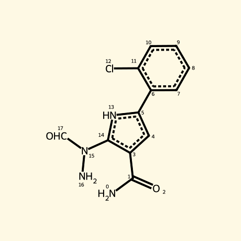 NC(=O)c1cc(-c2ccccc2Cl)[nH]c1N(N)C=O